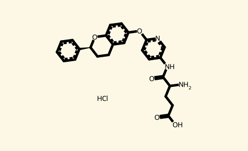 Cl.NC(CCC(=O)O)C(=O)Nc1ccc(Oc2ccc3c(c2)CC[C@@H](c2ccccc2)O3)nc1